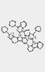 c1ccc(-c2nc3ccc4c5cc(-c6cccc7c8ccccc8n(-c8nc(-c9ccccc9)c9ccccc9n8)c67)ccc5n(-c5nc(-c6ccccc6)c6ccccc6n5)c4c3o2)cc1